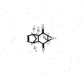 O=C1C2[C@H]3C=C[C@H](C3)[C@H]2C(=O)C2O[C@H]12